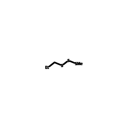 CCCSSSC